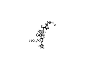 Nc1nc(C(=O)C(=O)NC2C(=O)N3C(OC(=O)O)=C(CSc4cnn[nH]4)CS[C@@H]23)cs1